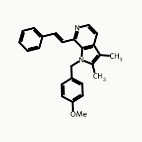 COc1ccc(Cn2c(C)c(C)c3ccnc(/C=C/c4ccccc4)c32)cc1